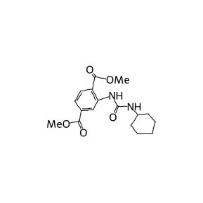 COC(=O)c1ccc(C(=O)OC)c(NC(=O)NC2CCCCC2)c1